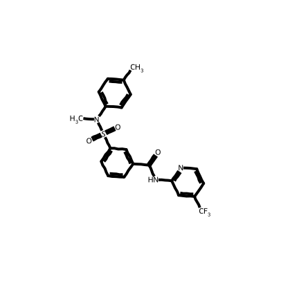 Cc1ccc(N(C)S(=O)(=O)c2cccc(C(=O)Nc3cc(C(F)(F)F)ccn3)c2)cc1